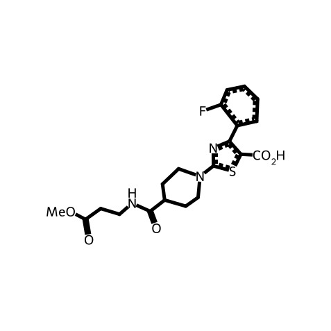 COC(=O)CCNC(=O)C1CCN(c2nc(-c3ccccc3F)c(C(=O)O)s2)CC1